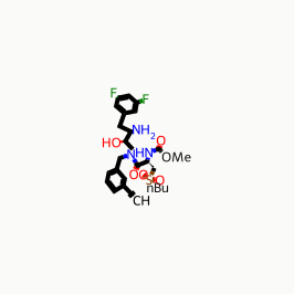 C#Cc1cccc(CN(C[C@@H](O)[C@@H](N)Cc2cc(F)cc(F)c2)C(=O)[C@@H](CS(=O)(=O)CCCC)NC(=O)OC)c1